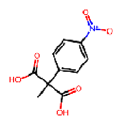 CC(C(=O)O)(C(=O)O)c1ccc([N+](=O)[O-])cc1